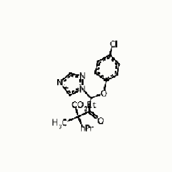 CCCC(C)(C(=O)OCC)C(=O)C(Oc1ccc(Cl)cc1)n1cncn1